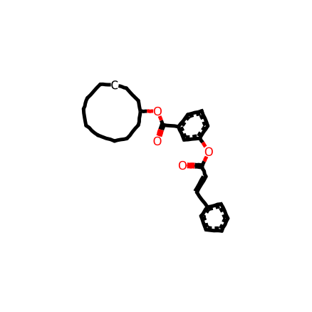 O=C(/C=C/c1ccccc1)Oc1cccc(C(=O)OC2CCCCCCCCCCC2)c1